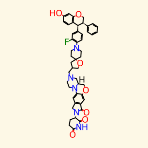 O=C1CC[C@H](N2Cc3cc4c(cc3C2=O)OC[C@@H]2CN(CC3COC5(CCN(c6ccc([C@H]7c8ccc(O)cc8OC[C@H]7c7ccccc7)cc6F)CC5)C3)CCN42)C(=O)N1